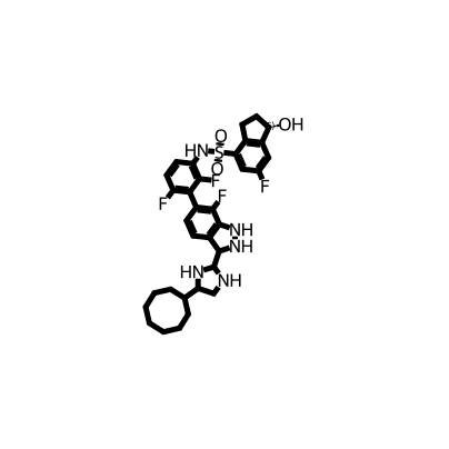 O=S(=O)(Nc1ccc(F)c(-c2ccc3c(c2F)NNC3C2NCC(C3CCCCCCC3)N2)c1F)c1cc(F)cc2c1CC[C@@H]2O